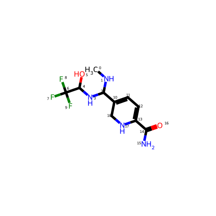 CNC(NC(O)C(F)(F)F)C1=CC=C(C(N)=O)NC1